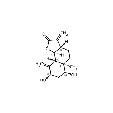 C=C1[C@H](O)C[C@H](O)[C@]2(C)CC[C@H]3C(=C)C(=O)O[C@@H]3[C@@H]12